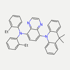 CCc1ccccc1N(c1ccccc1CC)c1ccc(N2c3ccccc3C(C)(C)c3ccccc32)c2nccnc12